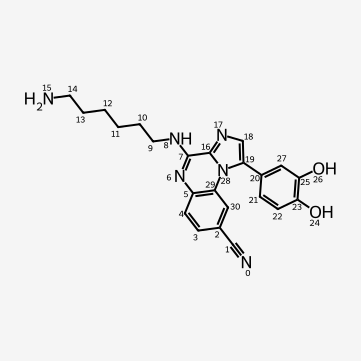 N#Cc1ccc2nc(NCCCCCCN)c3ncc(-c4ccc(O)c(O)c4)n3c2c1